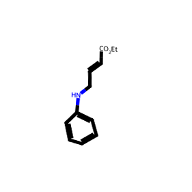 CCOC(=O)/C=C/CNc1ccccc1